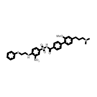 COc1cc(CCCN(C)C)ccc1-c1ccc(C(=O)NS(=O)(=O)c2ccc(NCCSc3ccccc3)c([N+](=O)[O-])c2)cc1